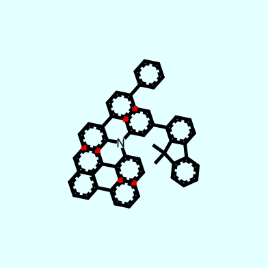 CC1(C)c2ccccc2-c2cccc(-c3cccc(N(c4ccccc4-c4ccc(-c5ccccc5)cc4)c4ccccc4-c4cccc5cccc(-c6ccccc6)c45)c3)c21